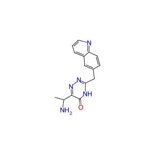 CC(N)c1nnc(Cc2ccc3ncccc3c2)[nH]c1=O